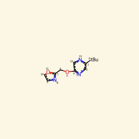 CC(C)(C)c1cnc(OCc2ncco2)cn1